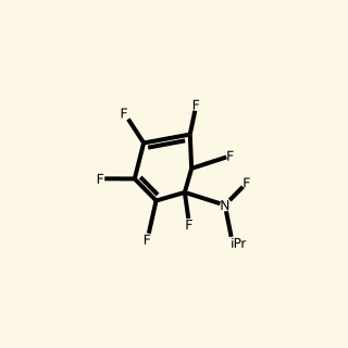 CC(C)N(F)C1(F)C(F)=C(F)C(F)=C(F)C1F